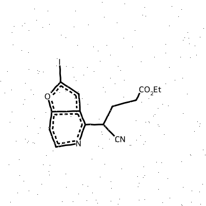 CCOC(=O)CCC(C#N)c1nccc2oc(I)cc12